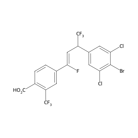 O=C(O)c1ccc(/C(F)=C/C(c2cc(Cl)c(Br)c(Cl)c2)C(F)(F)F)cc1C(F)(F)F